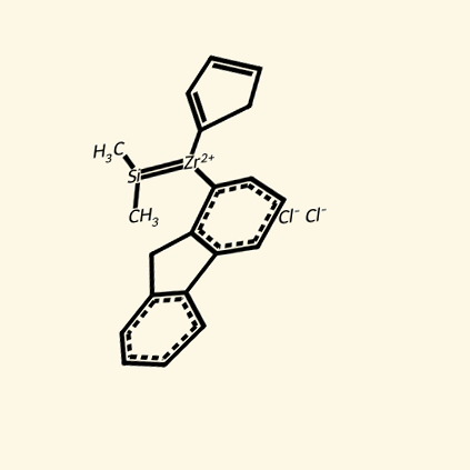 C[Si](C)=[Zr+2]([C]1=CC=CC1)[c]1cccc2c1Cc1ccccc1-2.[Cl-].[Cl-]